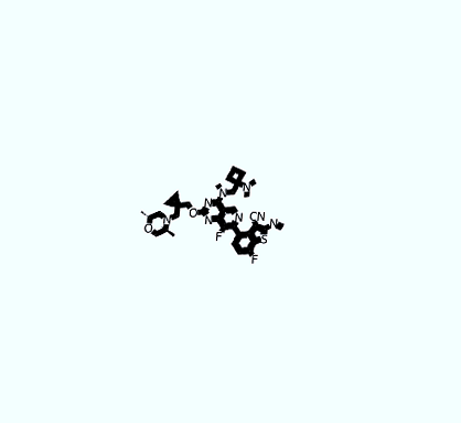 C=Nc1sc2c(F)ccc(-c3ncc4c(N(C)CC5(N(C)C)CCC5)nc(OCC5(CN6C[C@@H](C)OC[C@@H]6C)CC5)nc4c3F)c2c1C#N